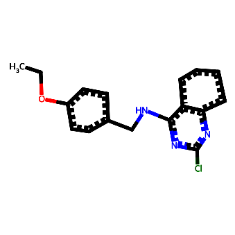 CCOc1ccc(CNc2nc(Cl)nc3ccccc23)cc1